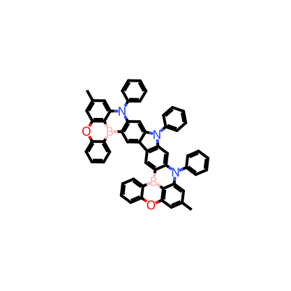 Cc1cc2c3c(c1)N(c1ccccc1)c1cc4c(cc1B3c1ccccc1O2)c1cc2c(cc1n4-c1ccccc1)N(c1ccccc1)c1cc(C)cc3c1B2c1ccccc1O3